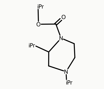 CC(C)OC(=O)N1CCN(C(C)C)CC1C(C)C